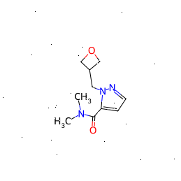 CN(C)C(=O)c1ccnn1CC1COC1